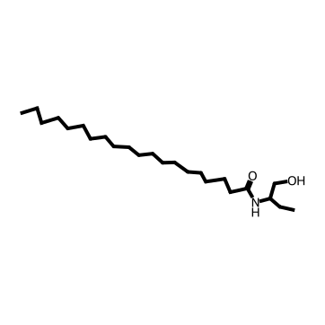 CCCCCCCCCCCCCCCCCCCC(=O)NC(CC)CO